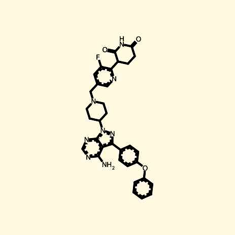 Nc1ncnc2c1c(-c1ccc(Oc3ccccc3)cc1)nn2C1CCN(Cc2cnc(C3CCC(=O)NC3=O)c(F)c2)CC1